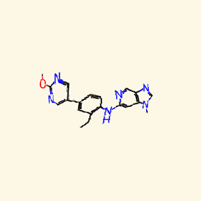 CCc1cc(-c2cnc(OC)nc2)ccc1Nc1cc2c(cn1)ncn2C